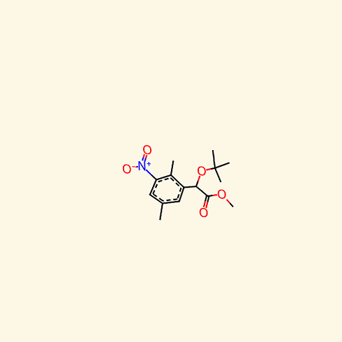 COC(=O)C(OC(C)(C)C)c1cc(C)cc([N+](=O)[O-])c1C